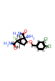 NC(=O)[C@@]1(N)[C@H]2[C@@H](C[C@H]1OCc1ccc(Cl)c(Cl)c1)[C@]2(F)C(N)=O